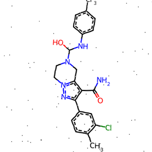 Cc1ccc(-c2nn3c(c2C(N)=O)CN(C(O)Nc2ccc(C(F)(F)F)cc2)CC3)cc1Cl